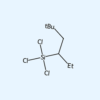 CCC(CC(C)(C)C)[Si](Cl)(Cl)Cl